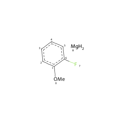 COc1cc[c]cc1F.[MgH2]